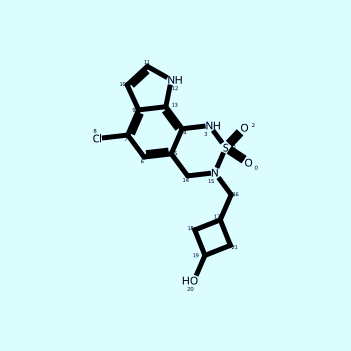 O=S1(=O)Nc2c(cc(Cl)c3cc[nH]c23)CN1CC1CC(O)C1